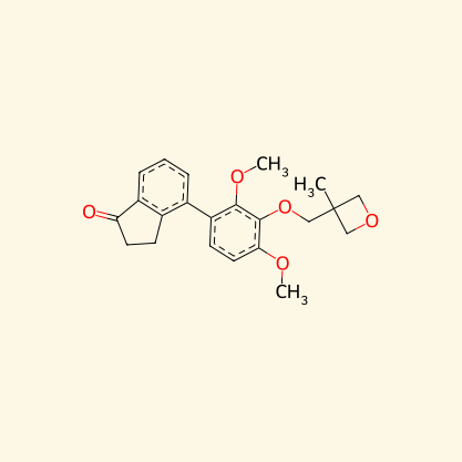 COc1ccc(-c2cccc3c2CCC3=O)c(OC)c1OCC1(C)COC1